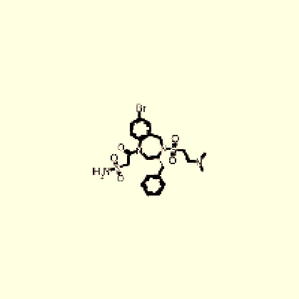 CN(C)CCS(=O)(=O)N1Cc2cc(Br)ccc2N(C(=O)CS(N)(=O)=O)C[C@H]1Cc1ccccc1